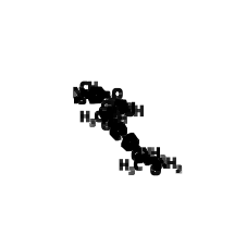 Cc1ncsc1-c1ccc(CNC(=O)[C@@H]2C[C@@H](O)CN2C(=O)[C@@H](NC(=O)C2CCN(c3ccc(CO[C@H](C)[C@@H](N)CCC(N)=O)cc3)CC2)C(C)(C)C)cc1.Cl